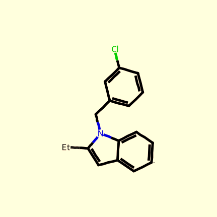 CCc1cc2c[c]ccc2n1Cc1cccc(Cl)c1